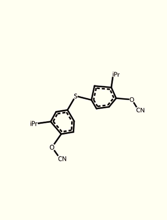 CC(C)c1cc(Sc2ccc(OC#N)c(C(C)C)c2)ccc1OC#N